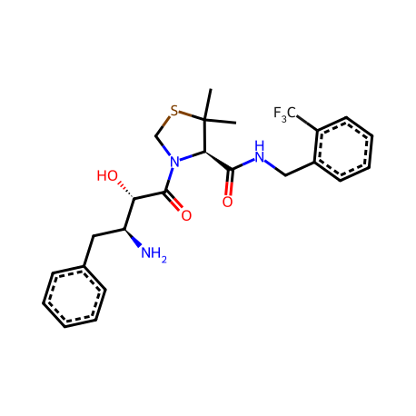 CC1(C)SCN(C(=O)[C@@H](O)[C@@H](N)Cc2ccccc2)[C@@H]1C(=O)NCc1ccccc1C(F)(F)F